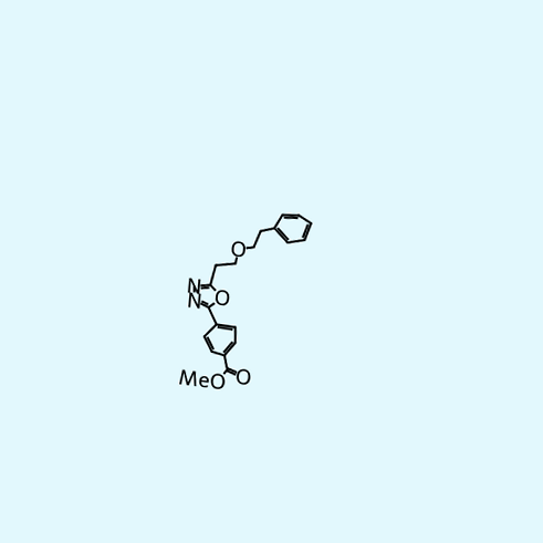 COC(=O)c1ccc(-c2nnc(CCOCCc3ccccc3)o2)cc1